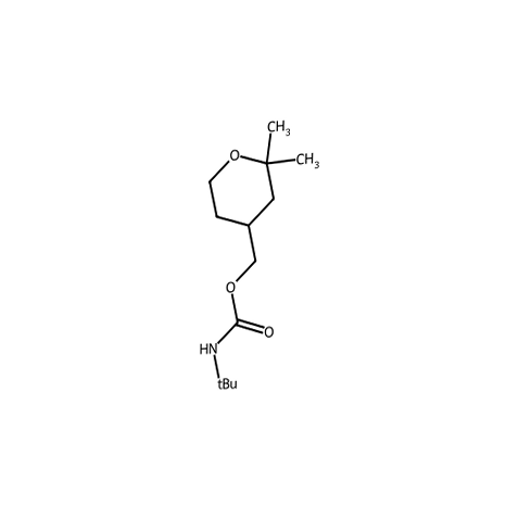 CC(C)(C)NC(=O)OCC1CCOC(C)(C)C1